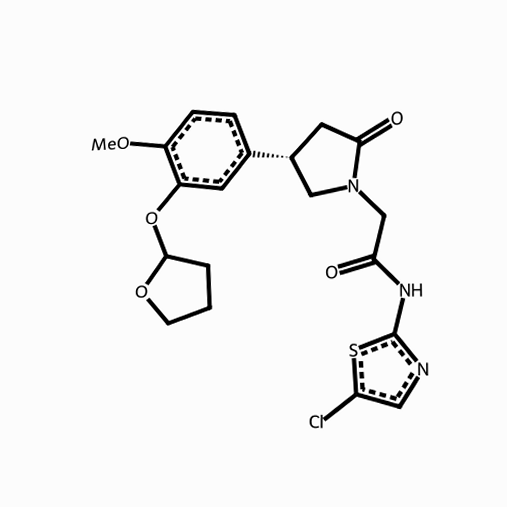 COc1ccc([C@@H]2CC(=O)N(CC(=O)Nc3ncc(Cl)s3)C2)cc1OC1CCCO1